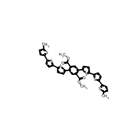 COC(=O)c1cc(-c2ccc(-c3ccc(-c4ccc(C)s4)s3)s2)c(C(=O)OC)cc1-c1ccc(-c2ccc(-c3ccc(C)s3)s2)s1